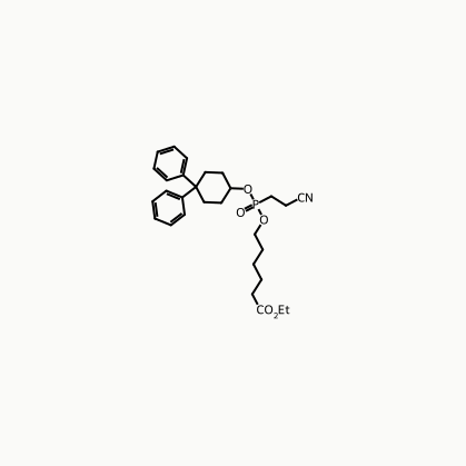 CCOC(=O)CCCCCOP(=O)(CCC#N)OC1CCC(c2ccccc2)(c2ccccc2)CC1